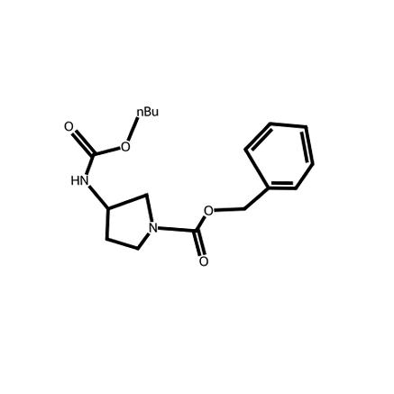 CCCCOC(=O)NC1CCN(C(=O)OCc2ccccc2)C1